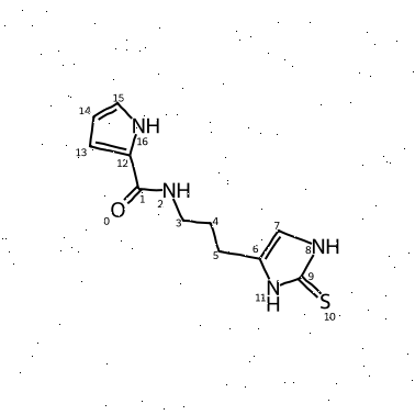 O=C(NCCCc1c[nH]c(=S)[nH]1)c1ccc[nH]1